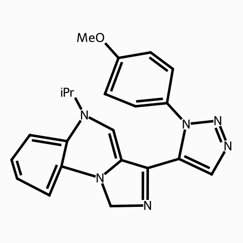 COc1ccc(-n2nncc2C2=NCN3C2=CN(C(C)C)c2ccccc23)cc1